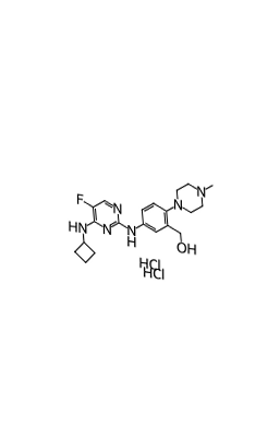 CN1CCN(c2ccc(Nc3ncc(F)c(NC4CCC4)n3)cc2CO)CC1.Cl.Cl